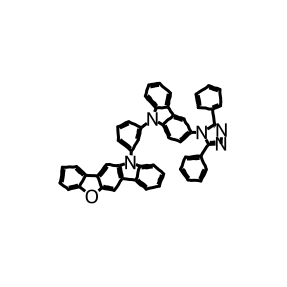 c1ccc(-c2nnc(-c3ccccc3)n2-c2ccc3c(c2)c2ccccc2n3-c2cccc(-n3c4ccccc4c4cc5oc6ccccc6c5cc43)c2)cc1